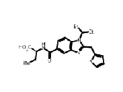 CCC(C)C[C@H](NC(=O)c1ccc2c(c1)nc(Cc1cccs1)n2C(CC)CC)C(=O)O